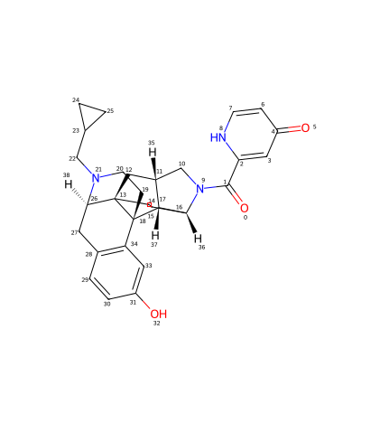 O=C(c1cc(=O)cc[nH]1)N1C[C@H]2C[C@@]34CC[C@@H]1[C@@H]2[C@@]31CCN(CC2CC2)[C@@H]4Cc2ccc(O)cc21